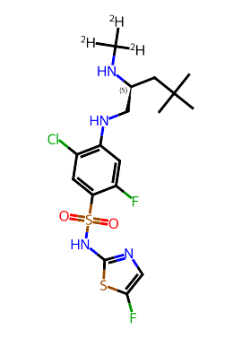 [2H]C([2H])([2H])N[C@H](CNc1cc(F)c(S(=O)(=O)Nc2ncc(F)s2)cc1Cl)CC(C)(C)C